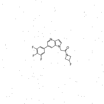 O=C(Cn1ccc2ncc(-c3cc(F)c(F)c(F)c3)cc21)N1CC(F)C1